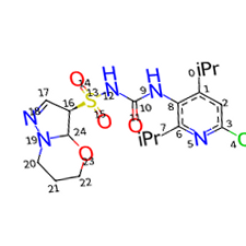 CC(C)c1cc(Cl)nc(C(C)C)c1NC(=O)NS(=O)(=O)[C@@H]1C=NN2CCCOC12